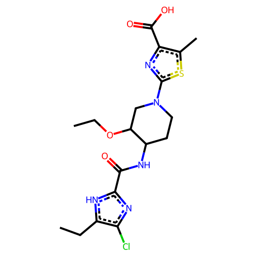 CCOC1CN(c2nc(C(=O)O)c(C)s2)CCC1NC(=O)c1nc(Cl)c(CC)[nH]1